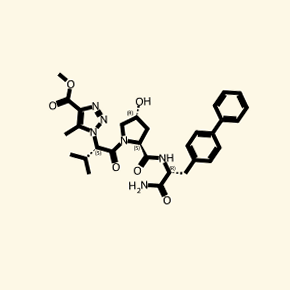 COC(=O)c1nnn([C@H](C(=O)N2C[C@H](O)C[C@H]2C(=O)N[C@H](Cc2ccc(-c3ccccc3)cc2)C(N)=O)C(C)C)c1C